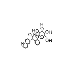 NC(=O)C(c1ccc2ncccc2c1)c1ccccc1OC1OC(CO)C(O)C(O)C1O